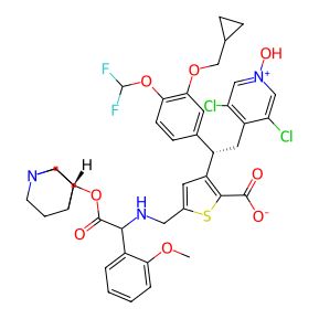 COc1ccccc1C(NCc1cc([C@@H](Cc2c(Cl)c[n+](O)cc2Cl)c2ccc(OC(F)F)c(OCC3CC3)c2)c(C(=O)[O-])s1)C(=O)O[C@H]1CN2CCC1CC2